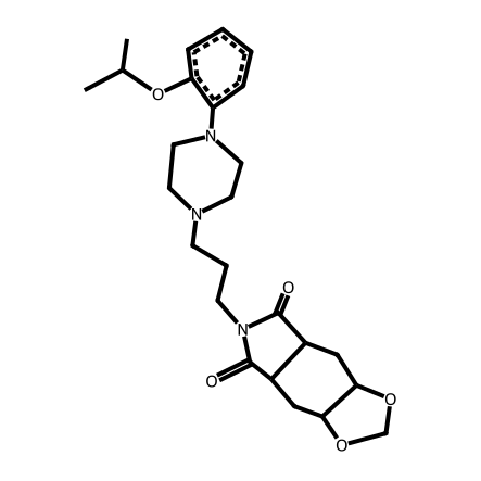 CC(C)Oc1ccccc1N1CCN(CCCN2C(=O)C3CC4OCOC4CC3C2=O)CC1